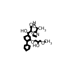 C#CC(C(O)c1ccc(-c2ccccc2)c(OCC(O)COC)c1)n1ccnc1[C@H](C)O